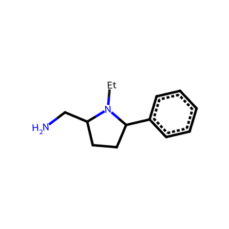 CCN1C(CN)CCC1c1ccccc1